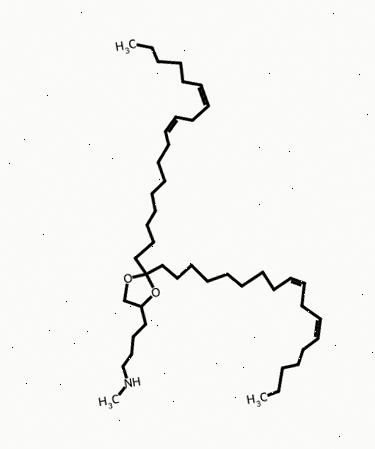 CCCCC/C=C\C/C=C\CCCCCCCCC1(CCCCCCCC/C=C\C/C=C\CCCCC)OCC(CCCCNC)O1